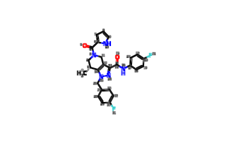 C[C@@H]1CN(C(=O)c2ccc[nH]2)Cc2c(C(=O)Nc3ccc(F)cc3)nn(Cc3ccc(F)cc3)c21